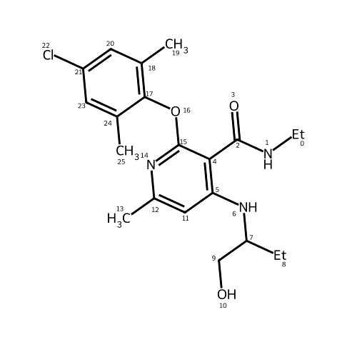 CCNC(=O)c1c(NC(CC)CO)cc(C)nc1Oc1c(C)cc(Cl)cc1C